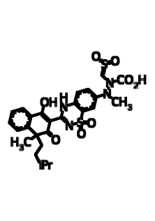 CC(C)CCC1(C)C(=O)C(C2=NS(=O)(=O)c3cc(N(C)N(C=S(=O)=O)C(=O)O)ccc3N2)=C(O)c2ccccc21